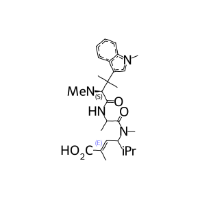 CN[C@H](C(=O)NC(C)C(=O)N(C)C(/C=C(\C)C(=O)O)C(C)C)C(C)(C)c1cn(C)c2ccccc12